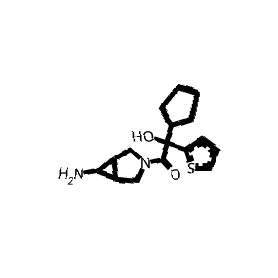 NC1C2CN(C(=O)C(O)(c3cccs3)C3CCCC3)CC12